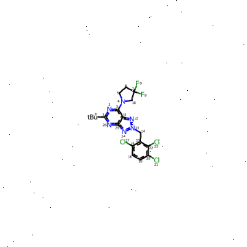 CC(C)(C)c1nc(N2CCC(F)(F)C2)c2nn(Cc3c(Cl)ccc(Cl)c3Cl)nc2n1